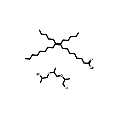 CC(O)COC(C)COC(C)CO.CCCCCCCC/C(CCCCC)=C(/CCCCC)CCCCCCCC(=O)O